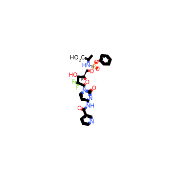 CC(N[P@](=O)(OC[C@H]1O[C@@H](n2ccc(NC(=O)c3cccnc3)nc2=O)C(F)(F)[C@@H]1O)Oc1ccccc1)C(=O)O